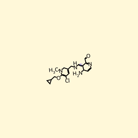 CN1CC(CN/C=C2/C(C=O)=NC=CC2N)=CC(Cl)=C1OCC1CC1